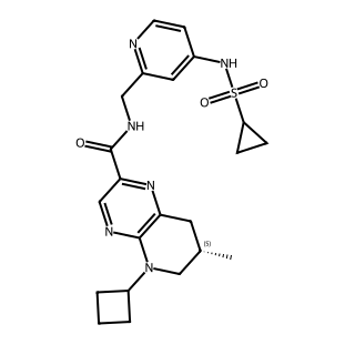 C[C@H]1Cc2nc(C(=O)NCc3cc(NS(=O)(=O)C4CC4)ccn3)cnc2N(C2CCC2)C1